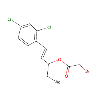 CC(=O)CC(C=Cc1ccc(Cl)cc1Cl)OC(=O)CBr